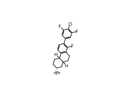 CCC[C@@H]1CC[C@@H]2c3ccc(-c4cc(F)c(Cl)c(F)c4)c(F)c3CC[C@@H]2C1